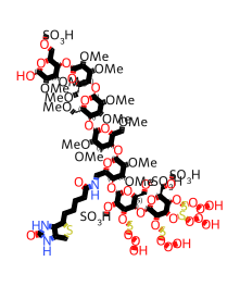 COCC1O[C@@H](O[C@H]2C(OC)C(OC)[C@@H](O[C@H]3C(OC)C(OC)[C@H](O[C@@H]4C(COS(=O)(=O)O)O[C@@H](O)C(OC)[C@H]4OC)O[C@H]3COC)O[C@H]2COC)C(OC)[C@@H](OC)[C@@H]1O[C@H]1OC(CNC(=O)CCCCC2SCC3NC(=O)NC32)[C@@H](O[C@@H]2O[C@@H](COS(=O)(=O)O)[C@@H](O[C@H]3O[C@@H](COS(=O)(=O)O)[C@@H](OSOOO)C(OSOOO)C3OSOOO)C(OSOOO)C2OS(=O)(=O)O)[C@H](OC)C1OC